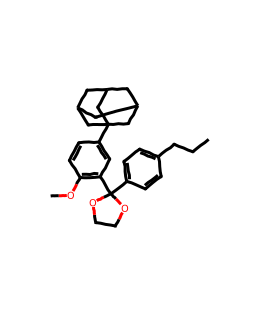 CCCc1ccc(C2(c3cc(C45CC6CC(CC(C6)C4)C5)ccc3OC)OCCO2)cc1